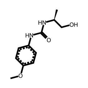 COc1ccc(NC(=O)N[C@@H](C)CO)cc1